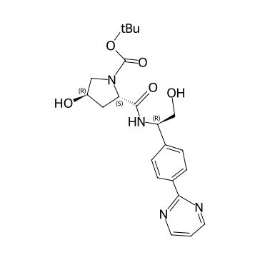 CC(C)(C)OC(=O)N1C[C@H](O)C[C@H]1C(=O)N[C@@H](CO)c1ccc(-c2ncccn2)cc1